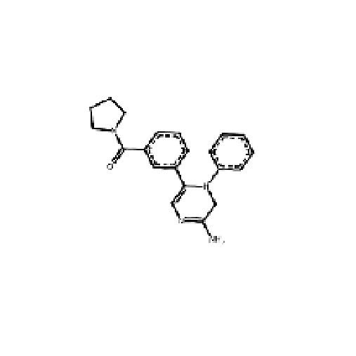 NC1=NC=C(c2cccc(C(=O)N3CCCC3)c2)N(c2ccccc2)C1